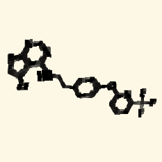 FC(F)(F)c1cccc(Oc2ccc(CCNc3ncnc4scc(Cl)c34)cc2)n1